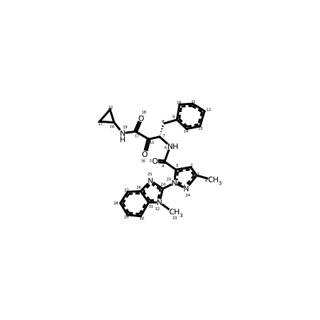 Cc1cc(C(=O)N[C@@H](Cc2ccccc2)C(=O)C(=O)NC2CC2)n(-c2nc3ccccc3n2C)n1